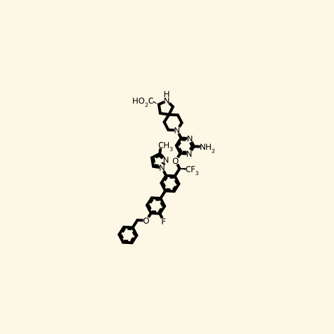 Cc1ccn(-c2cc(-c3ccc(OCc4ccccc4)c(F)c3)ccc2[C@@H](Oc2cc(N3CCC4(CC3)CN[C@@H](C(=O)O)C4)nc(N)n2)C(F)(F)F)n1